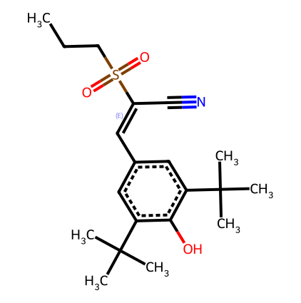 CCCS(=O)(=O)/C(C#N)=C/c1cc(C(C)(C)C)c(O)c(C(C)(C)C)c1